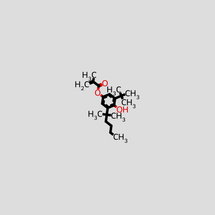 C=C(C)C(=O)Oc1cc(C(C)(C)C)c(O)c(C(C)(C)CCCC)c1